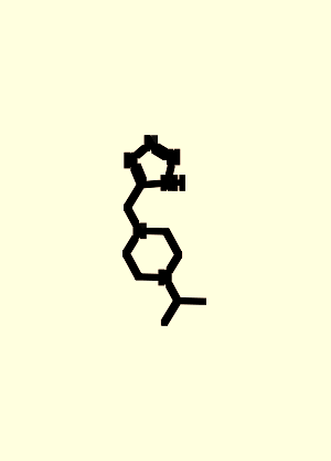 CC(C)N1CCN(Cc2nnn[nH]2)CC1